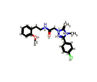 C=C1N(CC(=O)NCCc2ccccc2OCC)N=C(c2ccc(Cl)cc2)N1C